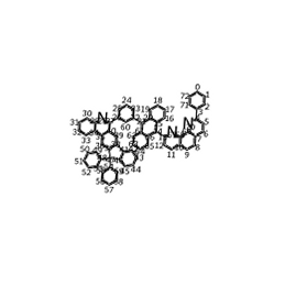 c1ccc(-c2ccc3ccc4ccc(-c5c6ccccc6c(-c6cccc(-c7nc8ccccc8c8cc9c(cc78)-c7ccccc7C9(c7ccccc7)c7ccccc7)c6)c6ccccc56)nc4c3n2)cc1